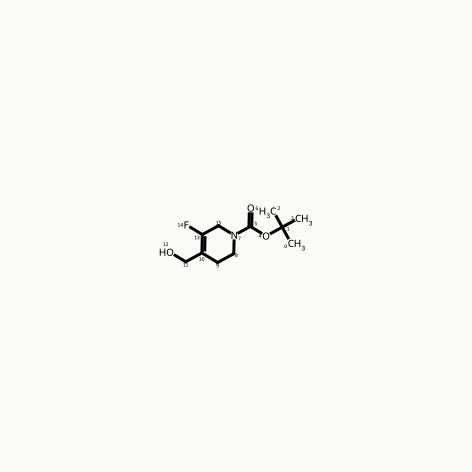 CC(C)(C)OC(=O)N1CCC(CO)=C(F)C1